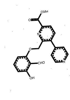 COC(=O)c1ccc(-c2ccncc2)c(COc2cccc(O)c2C=O)n1